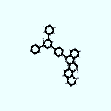 c1ccc(-c2cc(-c3ccc(-c4nc5c(cnc6c5ccc5cccnc56)c5ccccc45)cc3)cc(-c3ccccc3)n2)cc1